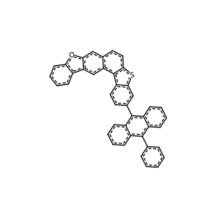 c1ccc(-c2c3ccccc3c(-c3ccc4c(c3)sc3ccc5cc6oc7ccccc7c6cc5c34)c3ccccc23)cc1